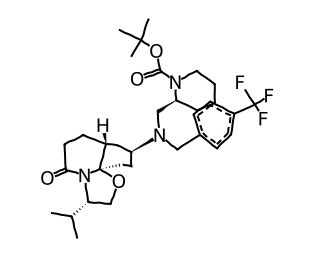 CC(C)[C@H]1CO[C@]23CC[C@H](N(Cc4ccc(C(F)(F)F)cc4)C[C@@H]4CCCCN4C(=O)OC(C)(C)C)C[C@H]2CCC(=O)N13